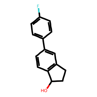 OC1CCc2cc(-c3ccc(F)cc3)ccc21